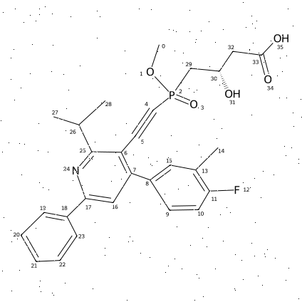 COP(=O)(C#Cc1c(-c2ccc(F)c(C)c2)cc(-c2ccccc2)nc1C(C)C)C[C@@H](O)CC(=O)O